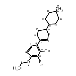 CCOc1ccc(C2=CCC(C3CCC(C)CC3)CC2)c(F)c1F